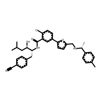 Cc1ccc([C@@H](C)NCc2ccc(-c3ccc(Cl)c(C(=O)N[C@H](Cc4ccc(C#N)cc4)[C@H](O)CC(C)C)c3)o2)cc1